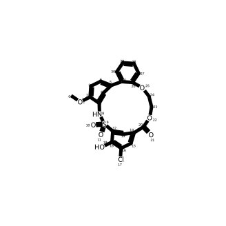 COc1ccc2cc1NS(=O)(=O)c1cc(cc(Cl)c1O)C(=O)OCCOc1ccccc1-2